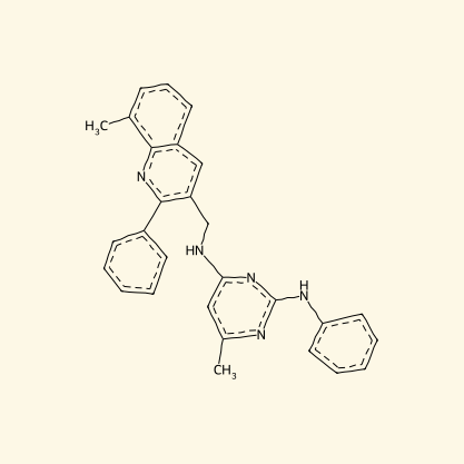 Cc1cc(NCc2cc3cccc(C)c3nc2-c2ccccc2)nc(Nc2ccccc2)n1